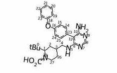 CC(C)(C)C1CC(CNc2ncnc(N)c2-c2ccc(Oc3ccccc3)cc2)CCN1C(=O)O